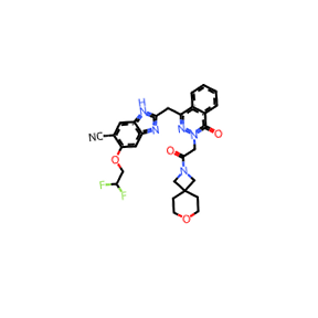 N#Cc1cc2[nH]c(Cc3nn(CC(=O)N4CC5(CCOCC5)C4)c(=O)c4ccccc34)nc2cc1OCC(F)F